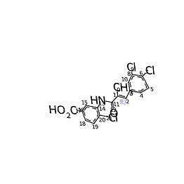 C/C(=C\c1ccc(Cl)c(Cl)c1)C(=O)Nc1cc(C(=O)O)ccc1Cl